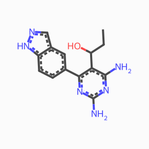 CCC(O)c1c(N)nc(N)nc1-c1ccc2[nH]ncc2c1